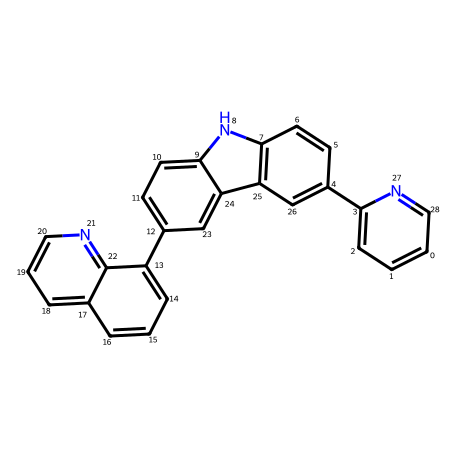 c1ccc(-c2ccc3[nH]c4ccc(-c5cccc6cccnc56)cc4c3c2)nc1